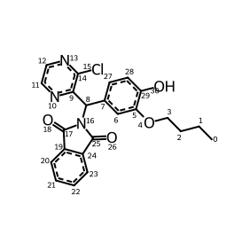 CCCCOc1cc(C(c2nccnc2Cl)N2C(=O)c3ccccc3C2=O)ccc1O